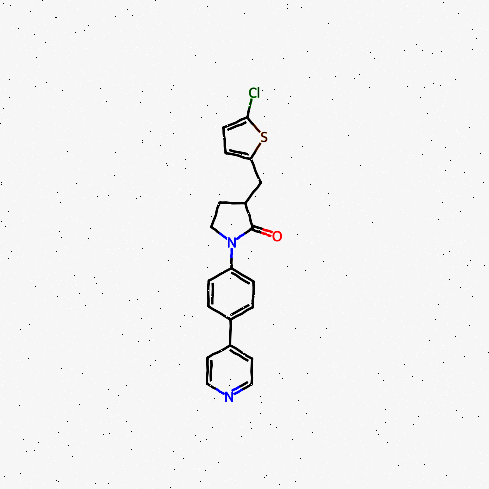 O=C1C(Cc2ccc(Cl)s2)CCN1c1ccc(-c2ccncc2)cc1